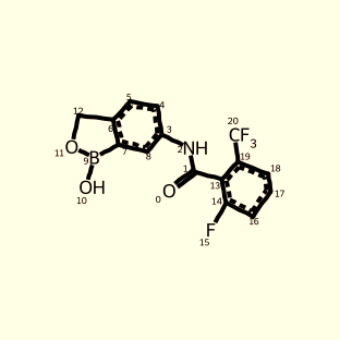 O=C(Nc1ccc2c(c1)B(O)OC2)c1c(F)cccc1C(F)(F)F